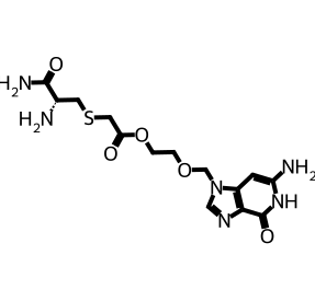 NC(=O)[C@@H](N)CSCC(=O)OCCOCn1cnc2c(=O)[nH]c(N)cc21